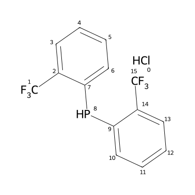 Cl.FC(F)(F)c1ccccc1Pc1ccccc1C(F)(F)F